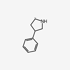 [C]1CC(c2ccccc2)CN1